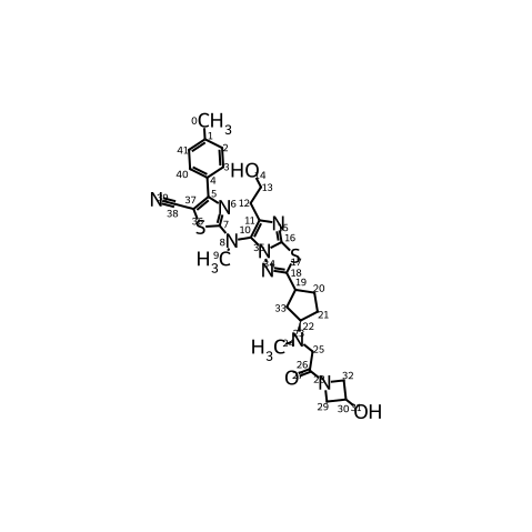 Cc1ccc(-c2nc(N(C)c3c(CCO)nc4sc(C5CC[C@@H](N(C)CC(=O)N6CC(O)C6)C5)nn34)sc2C#N)cc1